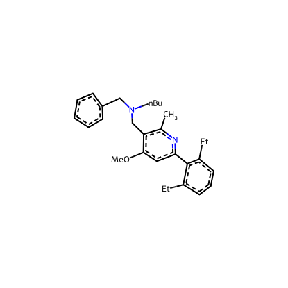 CCCCN(Cc1ccccc1)Cc1c(OC)cc(-c2c(CC)cccc2CC)nc1C